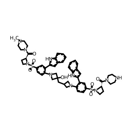 CN1CCN(C(=O)[C@@H]2CCN2S(=O)(=O)c2ccc(N3CC(O)(CC4CN(c5ccc(S(=O)(=O)N6CC[C@H]6C(=O)N6CCNCC6)cc5-c5cc6ccccc6[nH]5)C4)C3)c(-c3cc4ccccc4[nH]3)c2)CC1